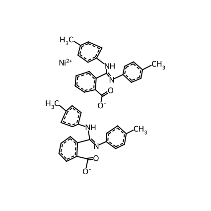 Cc1ccc(N=C(Nc2ccc(C)cc2)c2ccccc2C(=O)[O-])cc1.Cc1ccc(N=C(Nc2ccc(C)cc2)c2ccccc2C(=O)[O-])cc1.[Ni+2]